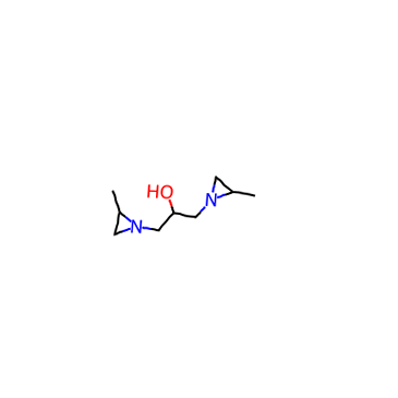 CC1CN1CC(O)CN1CC1C